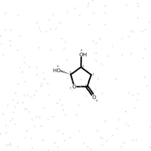 O=C1CC(O)[C@@H](O)O1